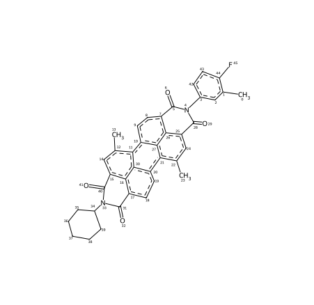 Cc1cc(N2C(=O)c3ccc4c5c(C)cc6c7c(ccc(c8c(C)cc(c3c48)C2=O)c75)C(=O)N(C2CCCCC2)C6=O)ccc1F